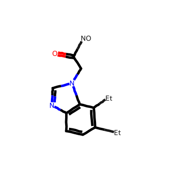 CCc1ccc2ncn(CC(=O)N=O)c2c1CC